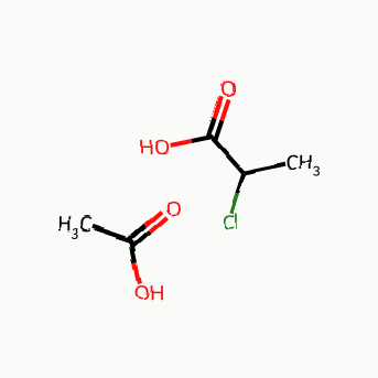 CC(=O)O.CC(Cl)C(=O)O